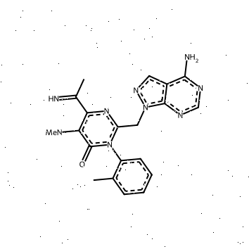 CNc1c(C(C)=N)nc(Cn2ncc3c(N)ncnc32)n(-c2ccccc2C)c1=O